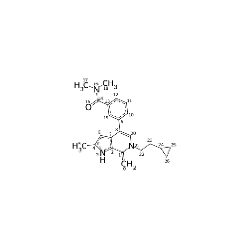 C=C1c2[nH]c(C)cc2C(c2cccc(C(=O)N(C)C)c2)=CN1CCC1CC1